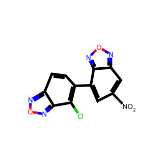 O=[N+]([O-])c1[c]c(-c2ccc3nonc3c2Cl)c2nonc2c1